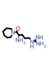 N=C(N)NCCC[C@@H](N)C(=O)N1CCCCCC1